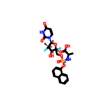 CC(N[P@](=O)(OC[C@@]1(F)O[C@@H](n2ccc(=O)[nH]c2=O)[C@](C)(F)[C@@H]1O)Oc1cccc2ccccc12)C(=O)O